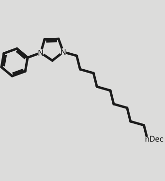 CCCCCCCCCCCCCCCCCCCN1C=CN(c2ccccc2)C1